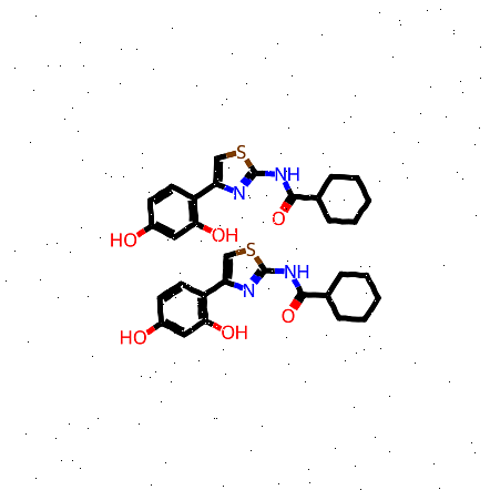 O=C(Nc1nc(-c2ccc(O)cc2O)cs1)C1CCCCC1.O=C(Nc1nc(-c2ccc(O)cc2O)cs1)C1CCCCC1